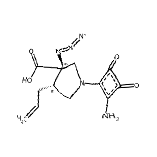 C=CC[C@H]1CN(c2c(N)c(=O)c2=O)C[C@@]1(N=[N+]=[N-])C(=O)O